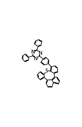 c1ccc(-c2nc(-c3ccccc3)nc(-c3ccc(-c4cccc5c4Sc4ccccc4-c4cccc6cccc-5c46)cc3)n2)cc1